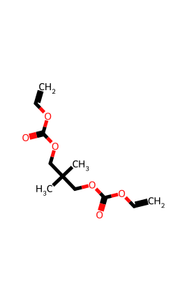 C=COC(=O)OCC(C)(C)COC(=O)OC=C